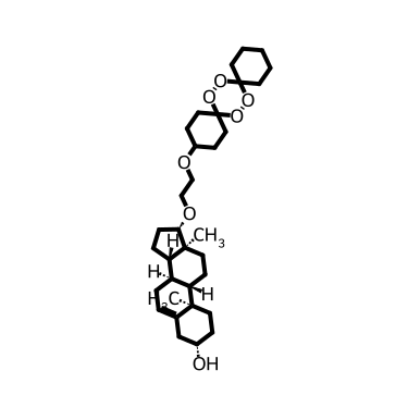 C[C@]12CC[C@H]3[C@@H](CC=C4C[C@@H](O)CC[C@@]43C)[C@@H]1CC[C@@H]2OCCOC1CCC2(CC1)OOC1(CCCCC1)OO2